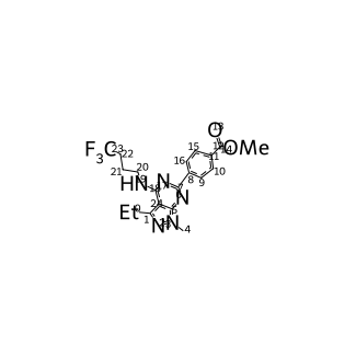 CCc1nn(C)c2nc(-c3ccc(C(=O)OC)cc3)nc(NCCCC(F)(F)F)c12